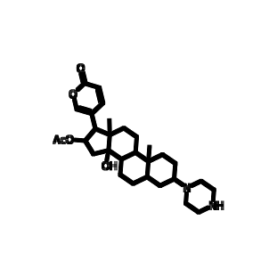 CC(=O)OC1CC2(O)C3CCC4CC(N5CCNCC5)CCC4(C)C3CCC2(C)C1c1ccc(=O)oc1